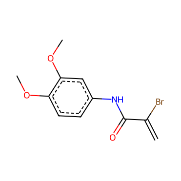 C=C(Br)C(=O)Nc1ccc(OC)c(OC)c1